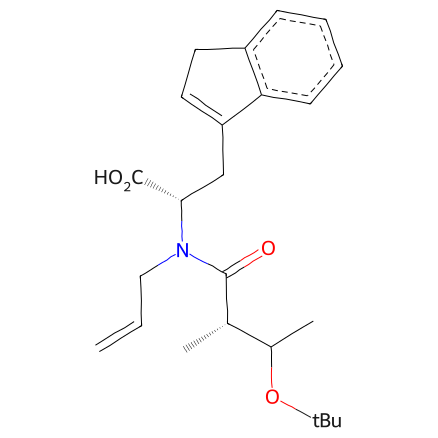 C=CCN(C(=O)[C@@H](C)C(C)OC(C)(C)C)[C@@H](CC1=CCc2ccccc21)C(=O)O